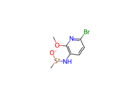 COc1nc(Br)ccc1N[S+](C)[O-]